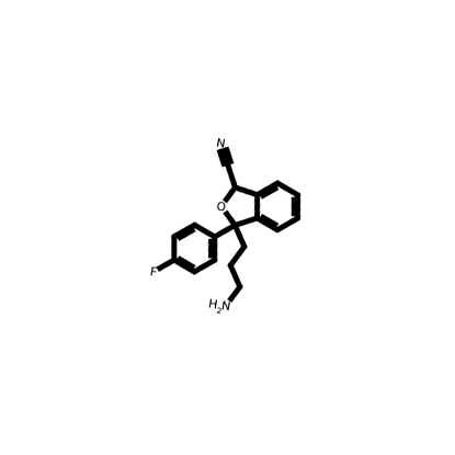 N#CC1OC(CCCN)(c2ccc(F)cc2)c2ccccc21